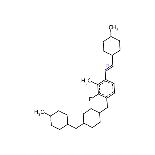 Cc1c(/C=C/C2CCC(C)CC2)ccc(CC2CCC(CC3CCC(C)CC3)CC2)c1F